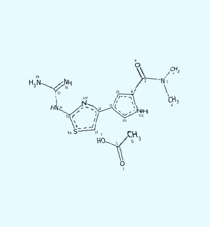 CC(=O)O.CN(C)C(=O)c1cc(-c2csc(NC(=N)N)n2)c[nH]1